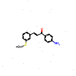 CCCCCCCCSc1cccc(/C=C/C(=O)c2ccc(N)cc2)c1